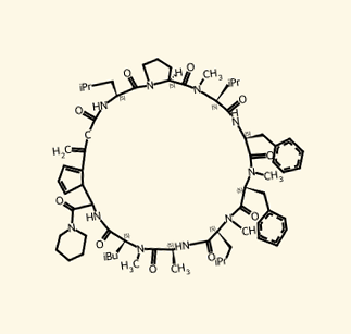 C=C1CC(=O)N[C@@H](CC(C)C)C(=O)N2CCC[C@H]2C(=O)N(C)[C@@H](C(C)C)C(=O)N[C@@H](Cc2ccccc2)C(=O)N(C)[C@@H](Cc2ccccc2)C(=O)N(C)[C@@H](CC(C)C)C(=O)N[C@@H](C)C(=O)N(C)[C@@H](C(C)CC)C(=O)NC(C(=O)N2CCCCC2)C2C=CC=C12